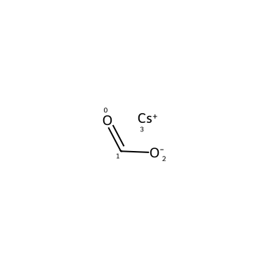 O=C[O-].[Cs+]